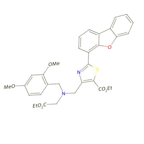 CCOC(=O)CN(Cc1ccc(OC)cc1OC)Cc1nc(-c2cccc3c2oc2ccccc23)sc1C(=O)OCC